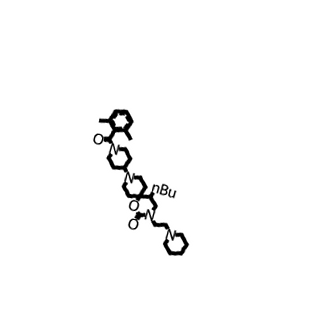 CCCCC1CN(CCN2CCCCC2)C(=O)OC12CCN(C1CCN(C(=O)c3c(C)cccc3C)CC1)CC2